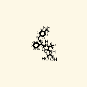 CC(C)(C)C(NC(=O)c1nn(Cc2ccc(C(F)(F)F)cc2)c2ccccc12)C(=O)NC(CO)CO